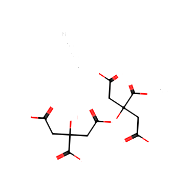 O=C([O-])CC(O)(CC(=O)OC(CC(=O)[O-])(CC(=O)[O-])C(=O)[O-])C(=O)[O-].[Na+].[Na+].[Na+].[Na+].[Na+]